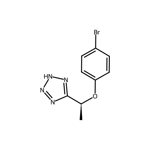 C[C@H](Oc1ccc(Br)cc1)c1nn[nH]n1